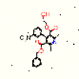 Cc1nc(C)c(C(=O)OCc2ccccc2)c(-c2cccc([N+](=O)[O-])c2)c1C(=O)OCCO